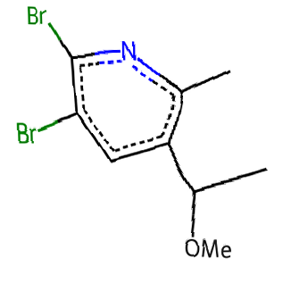 COC(C)c1cc(Br)c(Br)nc1C